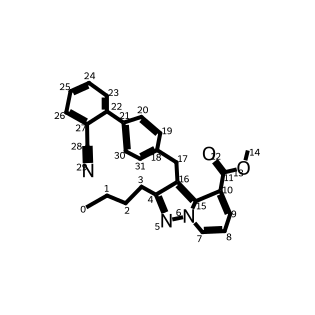 CCCCc1nn2cccc(C(=O)OC)c2c1Cc1ccc(-c2ccccc2C#N)cc1